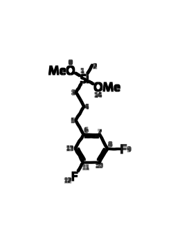 CO[Si](C)(CCCc1cc(F)cc(F)c1)OC